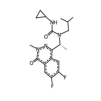 CC(C)CN(C(=O)NC1CC1)[C@H](C)c1nn(C)c(=O)c2cc(F)c(F)cc12